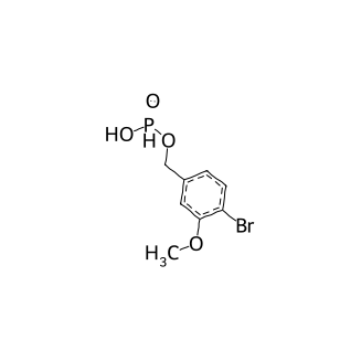 COc1cc(CO[PH](=O)O)ccc1Br